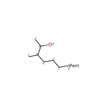 CCCCCCCCC(C)C(C)[O]